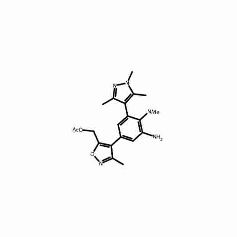 CNc1c(N)cc(-c2c(C)noc2COC(C)=O)cc1-c1c(C)nn(C)c1C